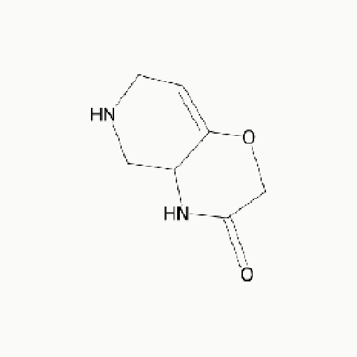 O=C1COC2=CCNCC2N1